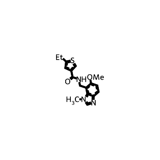 CCc1cc(C(=O)NCc2c(OC)ccc3ncn(C)c23)cs1